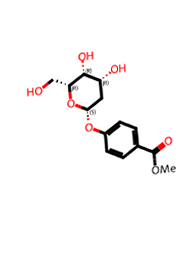 COC(=O)c1ccc(O[C@H]2C[C@@H](O)[C@@H](O)[C@@H](CO)O2)cc1